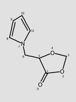 O=C1OCOC1Cn1cccc1